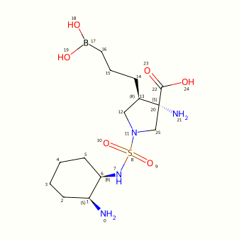 N[C@H]1CCCC[C@H]1NS(=O)(=O)N1C[C@@H](CCCB(O)O)[C@@](N)(C(=O)O)C1